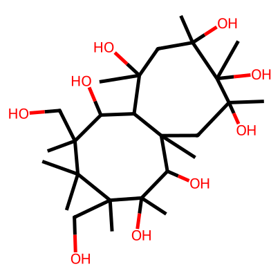 CC1(O)CC(C)(O)C(C)(O)C(C)(O)CC2(C)C1C(O)C(C)(CO)C(C)(C)C(C)(CO)C(C)(O)C2O